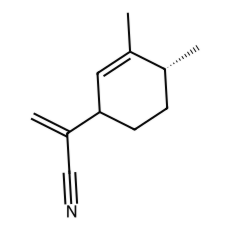 C=C(C#N)C1C=C(C)[C@H](C)CC1